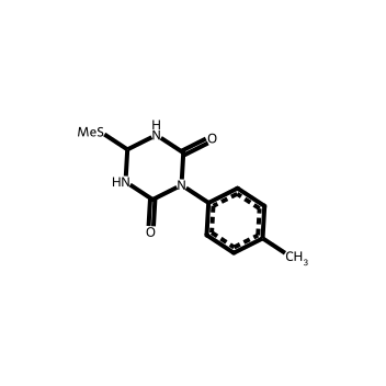 CSC1NC(=O)N(c2ccc(C)cc2)C(=O)N1